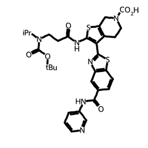 CC(C)N(CCC(=O)Nc1sc2c(c1-c1nc3cc(C(=O)Nc4cccnc4)ccc3s1)CCN(C(=O)O)C2)C(=O)OC(C)(C)C